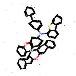 c1ccc(-c2ccc(N(c3ccc4c(c3)Oc3ccccc3[Si]43c4cc5ccccc5cc4Oc4cc5ccccc5cc43)c3cccc4c3sc3ccccc34)cc2)cc1